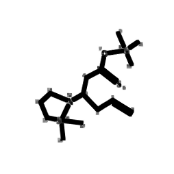 C=CCC(CC(=S)O[Si](C)(C)C)N1CCC[Si]1(C)C